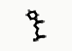 CC(C)C(=O)CCCC(=O)N1CCOCC1